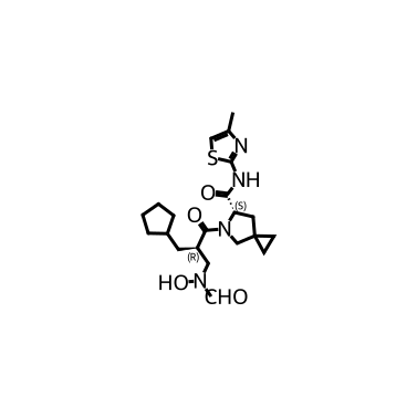 Cc1csc(NC(=O)[C@@H]2CC3(CC3)CN2C(=O)[C@H](CC2CCCC2)CN(O)C=O)n1